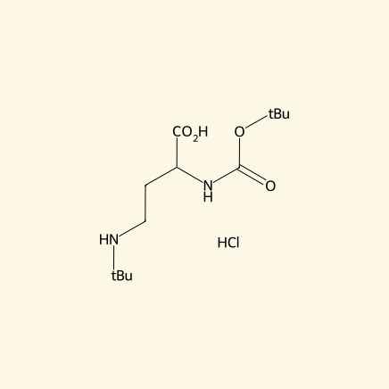 CC(C)(C)NCCC(NC(=O)OC(C)(C)C)C(=O)O.Cl